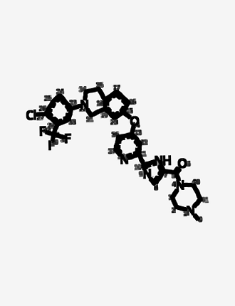 CN1CCN(C(=O)c2cnc(-c3cc(Oc4ccc5c(c4)CN(c4ccc(Cl)c(C(F)(F)F)c4)CC5)ccn3)[nH]2)CC1